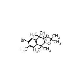 Cc1cc2c(cc1Br)C(C)(C)[C@@H]1OC(C)(C)OC1C2(C)C